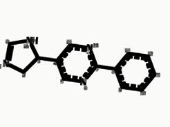 C1=NCC(c2cnc(-c3ccccc3)nc2)N1